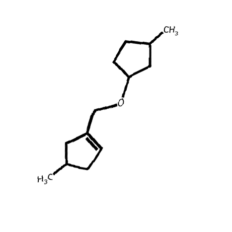 CC1CC=C(COC2CCC(C)C2)C1